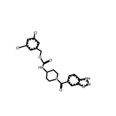 O=C(NC1CCN(C(=O)c2ccc3[nH]nnc3c2)CC1)OCc1cc(Cl)cc(Cl)c1